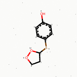 Oc1ccc(SC2CCOO2)cc1